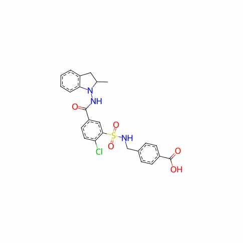 CC1Cc2ccccc2N1NC(=O)c1ccc(Cl)c(S(=O)(=O)NCc2ccc(C(=O)O)cc2)c1